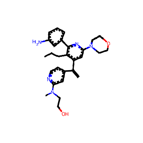 C=C(c1ccnc(N(C)CCO)c1)c1cc(N2CCOCC2)nc(-c2cccc(N)c2)c1CCC